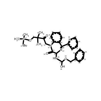 CC(C)(CO[Si](C)(C)C(C)(C)C)C(=O)CN1C(=O)C(NC(O)OCc2ccccc2)N=C(c2ccccn2)c2ccccc21